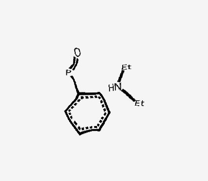 CCNCC.O=Pc1ccccc1